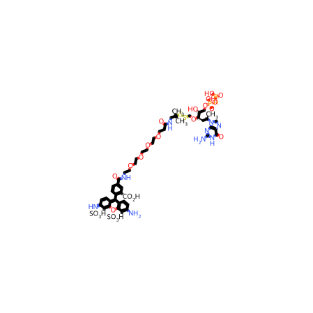 C[C@H](C[C@@H](OCSSC(C)(C)CNC(=O)CCOCCOCCOCCOCCNC(=O)c1ccc(-c2c3ccc(=N)c(S(=O)(=O)O)c-3oc3c(S(=O)(=O)O)c(N)ccc23)c(C(=O)O)c1)[C@H](O)COP(=O)(O)O[PH](=O)O)n1cnc2c(=O)[nH]c(N)nc21